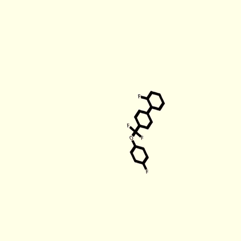 FC1CCC(OC(F)(F)C2CCC(C3CCCCC3F)CC2)CC1